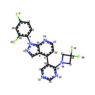 Fc1ccc(-n2ncc3c(-c4cncnc4N4CC(F)(F)C4)ccnc32)c(F)c1